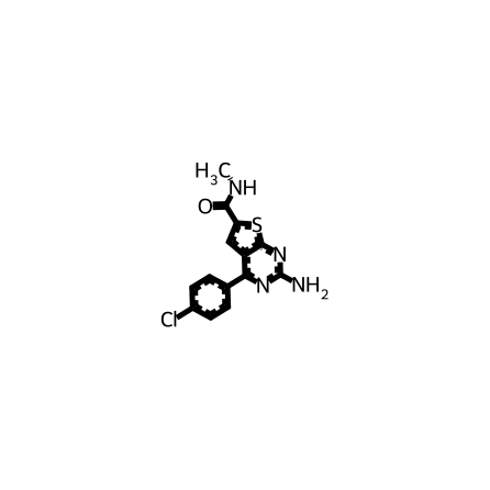 CNC(=O)c1cc2c(-c3ccc(Cl)cc3)nc(N)nc2s1